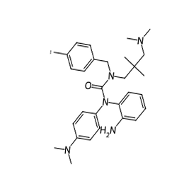 [CH]c1ccc(CN(CC(C)(C)CN(C)C)C(=O)N(c2ccc(N(C)C)cc2)c2ccccc2N)cc1